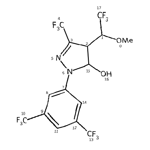 COC(C1C(C(F)(F)F)=NN(c2cc(C(F)(F)F)cc(C(F)(F)F)c2)C1O)C(F)(F)F